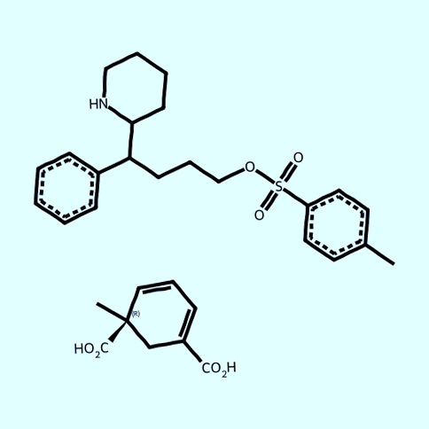 C[C@]1(C(=O)O)C=CC=C(C(=O)O)C1.Cc1ccc(S(=O)(=O)OCCCC(c2ccccc2)C2CCCCN2)cc1